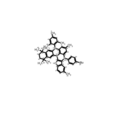 Cc1cc(C)c(N2c3cc4c(cc3B3c5oc6ccc(C)cc6c5N(c5ccc(C(C)(C)C)cc5)c5cc(C)cc2c53)C(C)(C)CCC4(C)C)c(C)c1